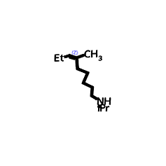 CC/C=C(/C)CCCCCNC(C)C